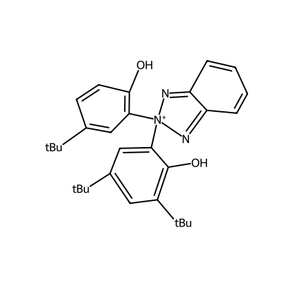 CC(C)(C)c1ccc(O)c([N+]2(c3cc(C(C)(C)C)cc(C(C)(C)C)c3O)N=c3ccccc3=N2)c1